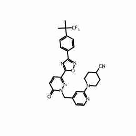 CC(C)(c1ccc(-c2noc(-c3ccc(=O)n(Cc4ccnc(N5CCC(C#N)CC5)c4)n3)n2)cc1)C(F)(F)F